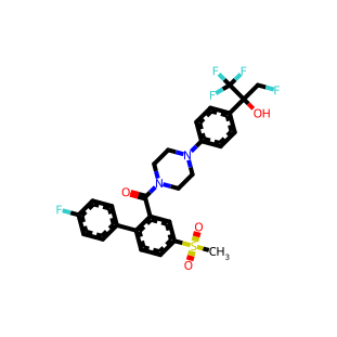 CS(=O)(=O)c1ccc(-c2ccc(F)cc2)c(C(=O)N2CCN(c3ccc(C(O)(CF)C(F)(F)F)cc3)CC2)c1